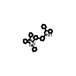 C1=C(c2ccccc2)c2ccccc2NC1c1cccc(-c2cccc(-c3nc(-c4ccccc4)nc4c5ccccc5c(-c5ccccc5)n34)c2)c1